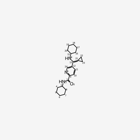 O=C(NC1CCCCC1)c1ccc(C(NC2CCCCC2)=C2CC2)cn1